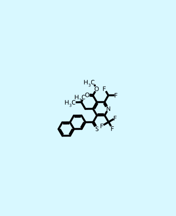 COC(=O)c1c(C(F)F)nc(C(F)(F)F)c(C(=S)c2ccc3ccccc3c2)c1CC(C)C